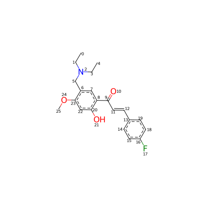 CCN(CC)Cc1cc(C(=O)/C=C/c2ccc(F)cc2)c(O)cc1OC